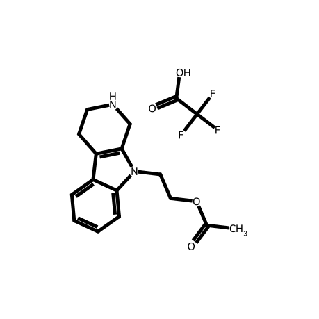 CC(=O)OCCn1c2c(c3ccccc31)CCNC2.O=C(O)C(F)(F)F